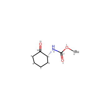 CC(C)(C)OC(=O)N[C@@H]1CCCCC1=O